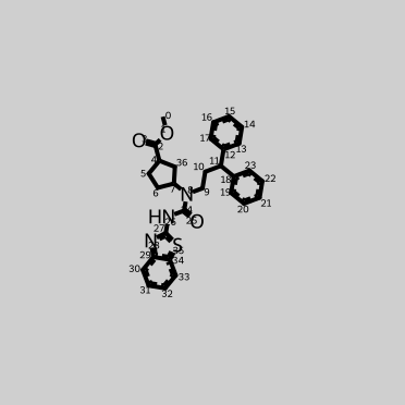 COC(=O)C1CCC(N(CCC(c2ccccc2)c2ccccc2)C(=O)Nc2nc3ccccc3s2)C1